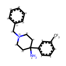 NC1(c2cccc(C(F)(F)F)c2)CCN(Cc2ccccc2)CC1